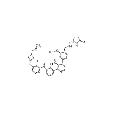 COCC1CN(Cc2ccnc(Nc3cccc(-c4nccc(-c5ccc(CNC[C@@H]6CCC(=O)N6)c(OC)n5)c4C)c3Cl)c2F)C1